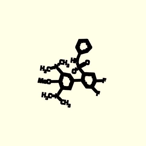 COc1c(N(C)C)cc(-c2cc(F)c(F)cc2S(=O)(=O)Nc2ccccc2)cc1N(C)C